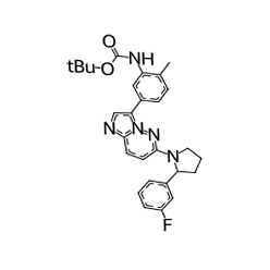 Cc1ccc(-c2cnc3ccc(N4CCCC4c4cccc(F)c4)nn23)cc1NC(=O)OC(C)(C)C